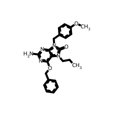 CCCn1c(=O)n(Cc2ccc(OC)cc2)c2nc(N)nc(OCc3ccccc3)c21